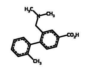 Cc1ccccc1-c1ccc(C(=O)O)cc1CN(C)C